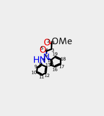 COC(=O)CC(=O)N(Nc1ccccc1)c1ccccc1